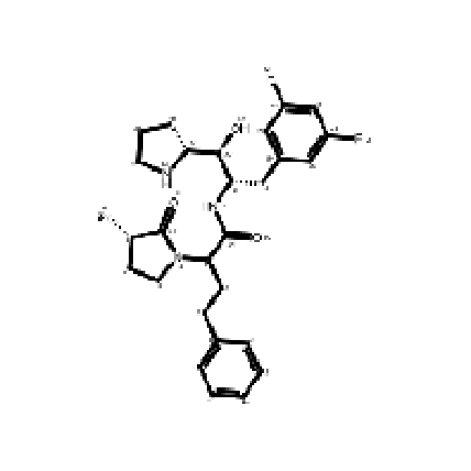 CC(C)[C@H]1CCN(C(CCc2ccccc2)C(=O)N[C@@H](Cc2cc(F)cc(F)c2)[C@H](O)[C@H]2CCCN2)C1=O